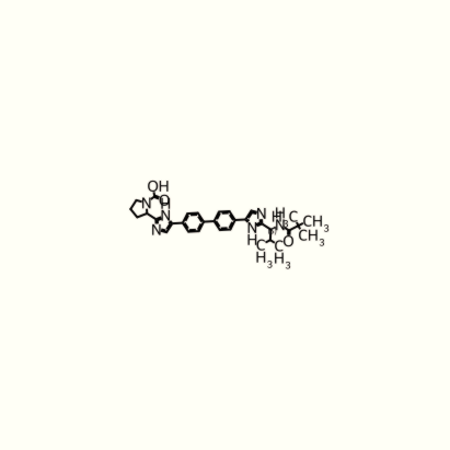 CC(C)[C@H](NC(=O)C(C)(C)C)c1ncc(-c2ccc(-c3ccc(-c4cnc(C5CCCN5C(=O)O)[nH]4)cc3)cc2)[nH]1